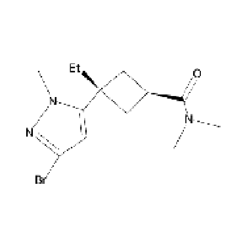 CC[C@]1(c2cc(Br)nn2C)C[C@H](C(=O)N(C)C)C1